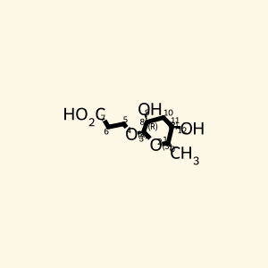 C[C@@H]1O[C@@H](OCCC(=O)O)[C@H](O)C[C@H]1O